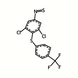 FC(F)(F)c1ccc(Sc2c(Cl)cc(N=S)cc2Cl)cc1